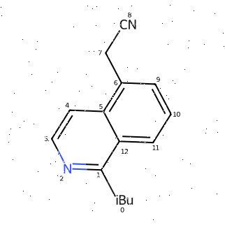 CCC(C)c1nccc2c(CC#N)cccc12